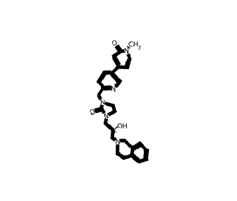 Cn1ccc(-c2ccc(CN3CCN(C[C@H](O)CN4CCc5ccccc5C4)C3=O)nc2)cc1=O